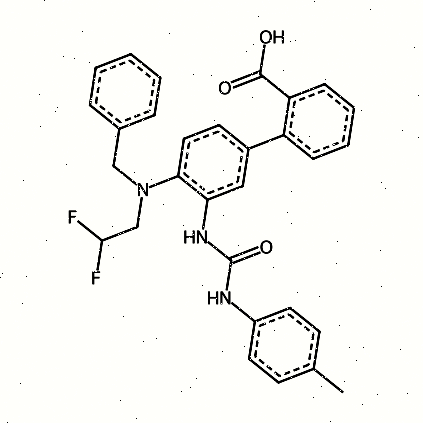 Cc1ccc(NC(=O)Nc2cc(-c3ccccc3C(=O)O)ccc2N(Cc2ccccc2)CC(F)F)cc1